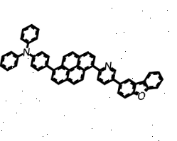 c1ccc(N(c2ccccc2)c2ccc(-c3ccc4ccc5c(-c6ccc(-c7ccc8oc9ccccc9c8c7)cn6)ccc6ccc3c4c65)cc2)cc1